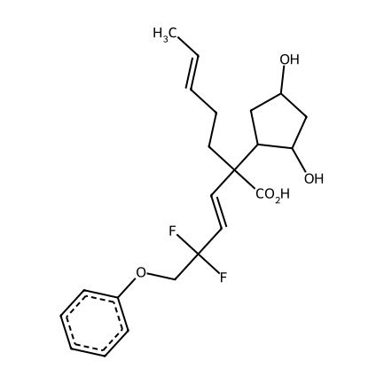 C/C=C/CCC(/C=C/C(F)(F)COc1ccccc1)(C(=O)O)C1CC(O)CC1O